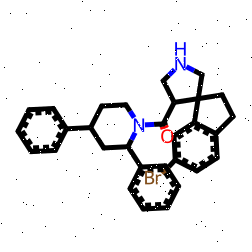 O=C(C1CNCC12CCc1ccc(Br)cc12)N1CCC(c2ccccc2)CC1c1ccccc1